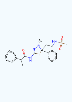 CC(=O)N1N=C(NC(=O)C(C)c2ccccc2)SC1(CCNS(C)(=O)=O)c1ccccc1